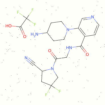 N#CC1CC(F)(F)CN1C(=O)CNC(=O)c1ccncc1N1CCC(N)CC1.O=C(O)C(F)(F)F